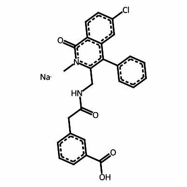 Cn1c(CNC(=O)Cc2cccc(C(=O)O)c2)c(-c2ccccc2)c2cc(Cl)ccc2c1=O.[Na]